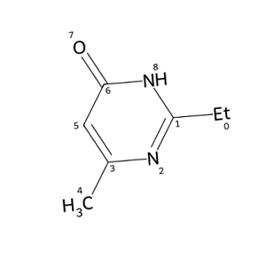 CCc1nc(C)cc(=O)[nH]1